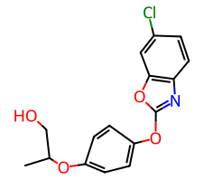 CC(CO)Oc1ccc(Oc2nc3ccc(Cl)cc3o2)cc1